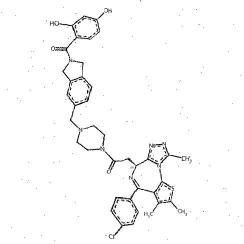 Cc1sc2c(c1C)C(c1ccc(Cl)cc1)=N[C@@H](CC(=O)N1CCN(Cc3ccc4c(c3)CN(C(=O)c3ccc(O)cc3O)C4)CC1)c1nnc(C)n1-2